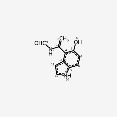 C=C(NC=O)c1c(O)ccc2[nH]ccc12